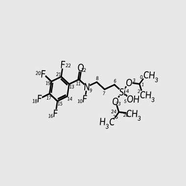 CC(C)O[Si](O)(CCCN(F)C(=O)c1cc(F)c(F)c(F)c1F)OC(C)C